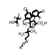 CC(C)(CCN=[N+]=[N-])C[C@@H]1N[C@@H](C(=O)O)[C@H](c2cccc(Cl)c2F)[C@@]1(C#N)c1ccc(Cl)cc1F.O=C(O)C(F)(F)F